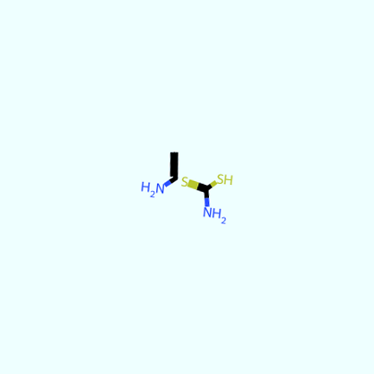 C=CN.NC(=S)S